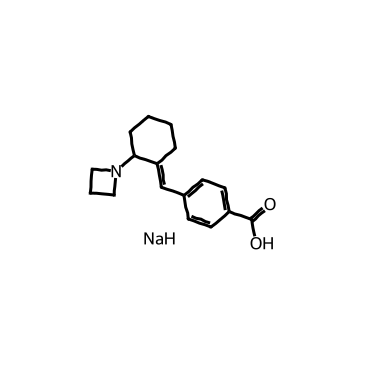 O=C(O)c1ccc(C=C2CCCCC2N2CCC2)cc1.[NaH]